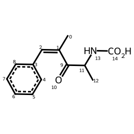 CC(=Cc1ccccc1)C(=O)C(C)NC(=O)O